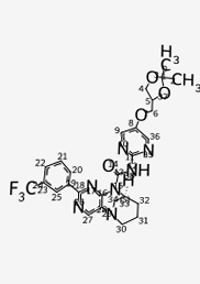 CC1(C)OCC(COc2cnc(NC(=O)N3c4nc(-c5cccc(C(F)(F)F)c5)ncc4N4CCC[C@H]3C4)nc2)O1